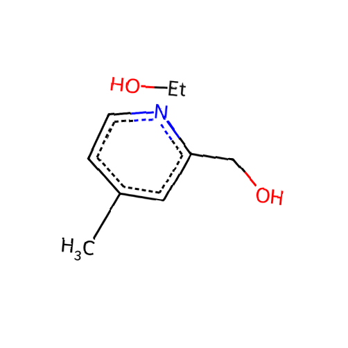 CCO.Cc1ccnc(CO)c1